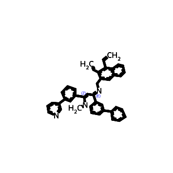 C=Cc1c(C/N=C(\C=C(/N=C)c2cccc(-c3cccnc3)c2)c2cccc(-c3ccccc3)c2)cc2ccccc2c1C=C